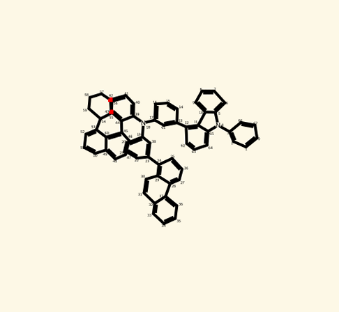 c1ccc(-n2c3ccccc3c3c(-c4cccc(N(c5cccc(-c6cccc7c6ccc6ccccc67)c5)c5ccccc5-c5cccc6cccc(C7CCCCC7)c56)c4)cccc32)cc1